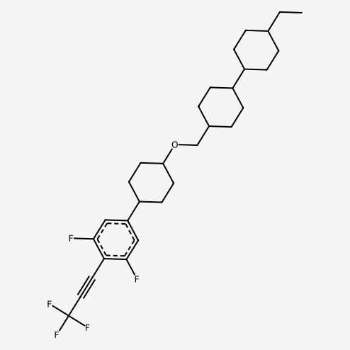 CCC1CCC(C2CCC(COC3CCC(c4cc(F)c(C#CC(F)(F)F)c(F)c4)CC3)CC2)CC1